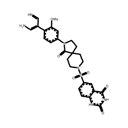 COc1cc(N2CCC3(CCN(S(=O)(=O)c4ccc5[nH]c(=O)[nH]c(=O)c5c4)CC3)C2=O)ccc1/C(C=N)=C/N